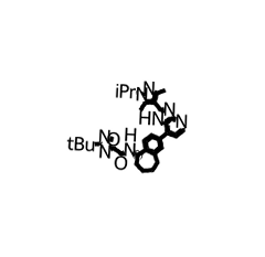 Cc1nn(C(C)C)c(C)c1-c1nc2nccc(-c3ccc4c(c3)CCCC[C@H]4NC(=O)c3nc(C(C)(C)C)no3)c2[nH]1